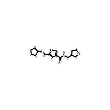 O=C(NCC1CCOC1)c1cc(COC2CCCC2)on1